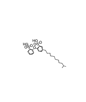 CC(C)CCCCCCCCCc1ccc(Oc2ccccc2S(=O)(=O)O)c(S(=O)(=O)O)c1